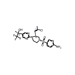 C/C(Cl)=C/[C@H]1CN(S(=O)(=O)c2ccc(N)nc2)CCN1c1ncc([C@@](C)(O)C(F)(F)F)cn1